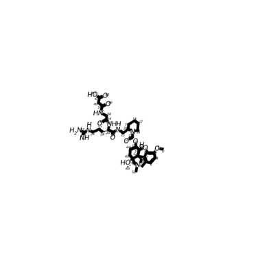 COc1ccc(C)c2c1O[C@H]1C(OC(=O)N3CCCCC3CNC(=O)[C@H](CCCNC(=N)N)NC(=O)CNC(=O)CC(=O)O)=CC[C@@]3(O)[C@@H](C)N(C)CC[C@]213